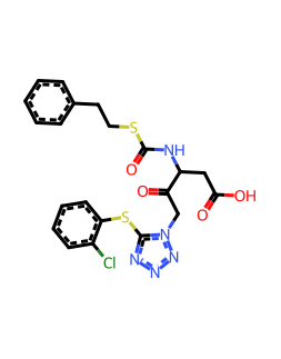 O=C(O)CC(NC(=O)SCCc1ccccc1)C(=O)Cn1nnnc1Sc1ccccc1Cl